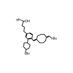 CCCCC=C1CCCC(=Cc2ccc(CCCC(O)CCC)cc2C2CCC(C(C)(C)C)CC2)CCC1